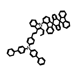 C/C=C\c1c(/C=C/c2ccc(N(c3ccc(C4=CC=CCC4)cc3)c3ccc(-c4ccccc4)cc3)cc2)c2ccccc2n1-c1cccc2c1-c1ccccc1C21c2ccccc2C2(c3ccccc3-c3ccccc32)c2ccccc21